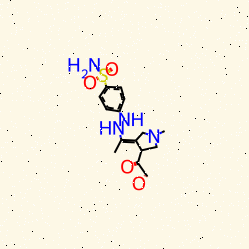 CC(NNc1ccc(S(N)(=O)=O)cc1)=C1CN(C)CC1C(=O)C=O